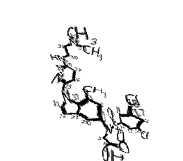 Cc1cc(N(CC(=O)O)S(=O)(=O)c2cc(Cl)cc(Cl)c2)cc2ccn(-c3ccc(NCCN(C)C)nn3)c12